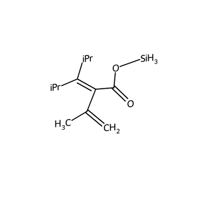 C=C(C)C(C(=O)O[SiH3])=C(C(C)C)C(C)C